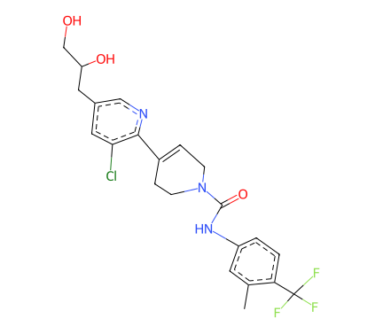 Cc1cc(NC(=O)N2CC=C(c3ncc(CC(O)CO)cc3Cl)CC2)ccc1C(F)(F)F